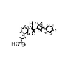 O=C(O)C=Cc1cccc(NC(=O)c2csc(-c3ccccc3)n2)c1